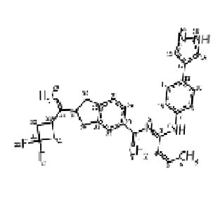 C=C(/N=C(\C=C/C)Nc1ccc(-c2cn[nH]c2)cc1)c1ccc2c(c1)CC(C(=C)C1CC(F)(F)C1)C2